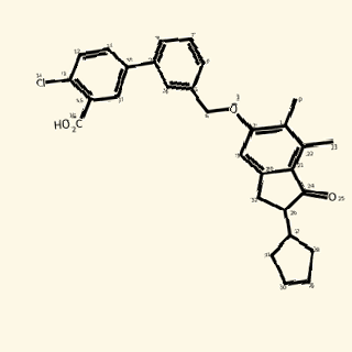 Cc1c(OCc2cccc(-c3ccc(Cl)c(C(=O)O)c3)c2)cc2c(c1C)C(=O)C(C1CCCC1)C2